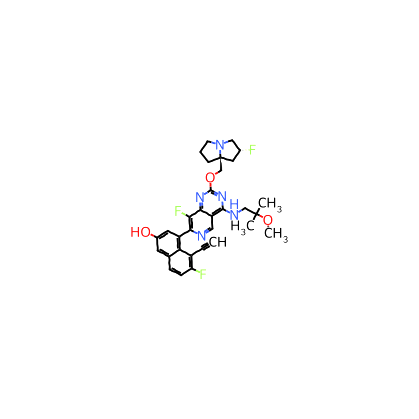 C#Cc1c(F)ccc2cc(O)cc(-c3ncc4c(NCC(C)(C)OC)nc(OC[C@@]56CCCN5C[C@H](F)C6)nc4c3F)c12